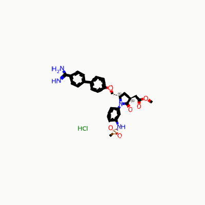 COC(=O)C[C@@H]1C[C@@H](COc2ccc(-c3ccc(C(=N)N)cc3)cc2)N(c2cccc(NS(C)(=O)=O)c2)C1=O.Cl